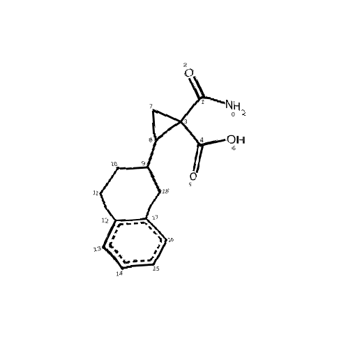 NC(=O)C1(C(=O)O)CC1C1CCc2ccccc2C1